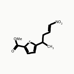 COC(=O)c1ccc(C(C)CC=C[N+](=O)[O-])s1